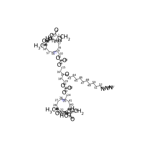 C=C1C(=O)O[C@H]2[C@H]1CC/C(COC(=O)OCCC(CCOC(=O)OC/C1=C/CC[C@@]3(C)O[C@H]3[C@H]3OC(=O)C(=C)[C@@H]3CC1)OCCCCCCCCCCN=[N+]=[N-])=C\CC[C@@]1(C)O[C@@H]21